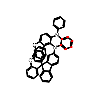 c1ccc(N(c2ccccc2)c2ccc3oc4ccccc4c3c2N(c2ccccc2)c2ccc3c(c2)C2(c4ccccc4Oc4ccccc42)c2ccccc2-3)cc1